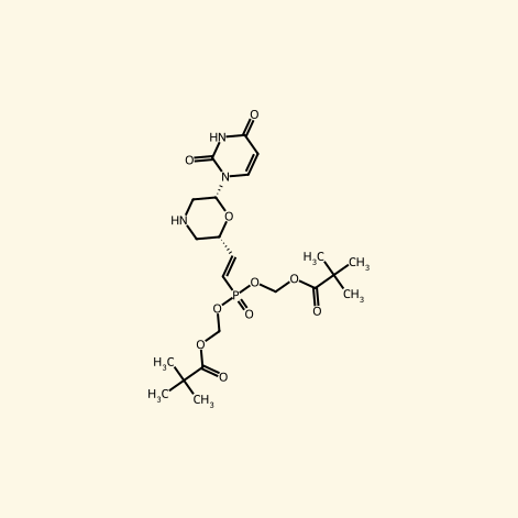 CC(C)(C)C(=O)OCOP(=O)(/C=C/[C@@H]1CNC[C@H](n2ccc(=O)[nH]c2=O)O1)OCOC(=O)C(C)(C)C